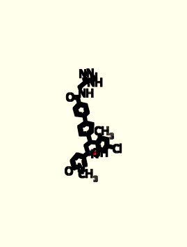 Cc1cc(Cl)ccc1C(C/C(=N\O)c1ccc(=O)n(C)c1)c1ccc(-c2ccc(C(=O)NCc3nnn[nH]3)cc2)cc1